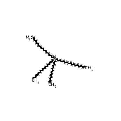 CCCCCCCCCCCCCCCCCC[PH](CCCCCCCCCCCCCCC)(CCCCCCCCCCCCCCCCCC)CCCCCCCCCCCCCCCCCC